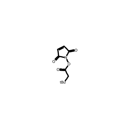 CC(C)(C)CC(=O)ON1C(=O)C=CC1=O